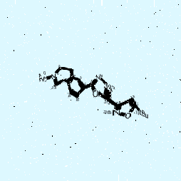 CC(=O)N1CCc2cc(-c3nnc(-c4cc(C(C)(C)C)on4)o3)ccc2C1